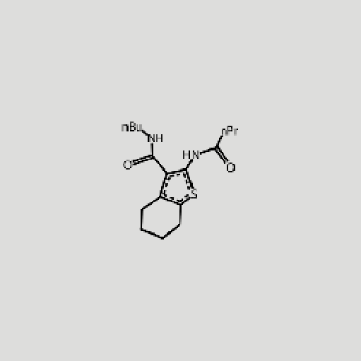 CCCCNC(=O)c1c(NC(=O)CCC)sc2c1CCCC2